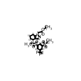 CCOC(=O)Cn1ncc2c1CCC[C@H]2N(C)S(=O)(=O)c1cc(C(F)(F)F)cc(S(=O)(=O)CC)c1